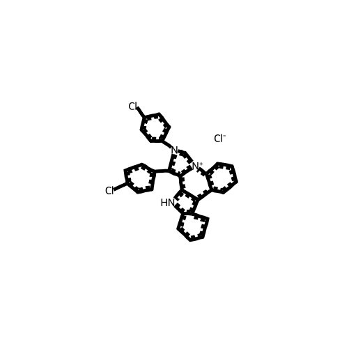 Clc1ccc(-c2c3c4[nH]c5ccccc5c4c4ccccc4[n+]3cn2-c2ccc(Cl)cc2)cc1.[Cl-]